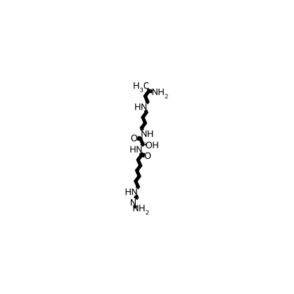 C[C@@H](N)CCNCCCCNC(=O)[C@H](O)NC(=O)CCCCCCNC=NN